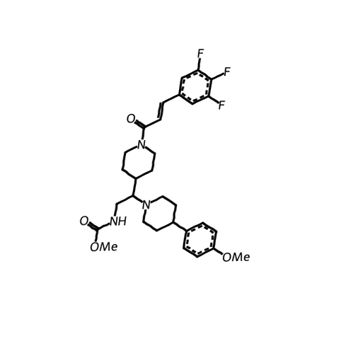 COC(=O)NCC(C1CCN(C(=O)C=Cc2cc(F)c(F)c(F)c2)CC1)N1CCC(c2ccc(OC)cc2)CC1